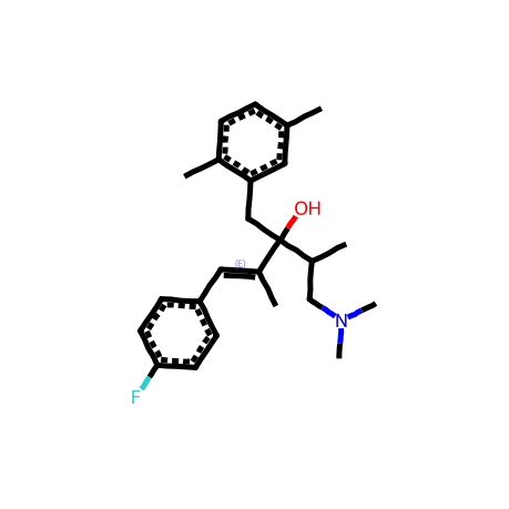 C/C(=C\c1ccc(F)cc1)C(O)(Cc1cc(C)ccc1C)C(C)CN(C)C